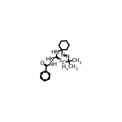 CC(C)(C)N=NC1(NC(=S)NNC(=O)c2ccccc2)CCCCC1